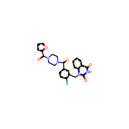 O=C(c1ccc(F)c(Cn2c(=O)[nH]c(=O)c3ccccc32)c1)N1CCN(C(=O)c2ccco2)CC1